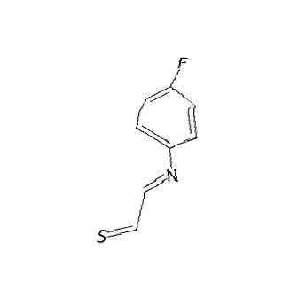 Fc1ccc(N=CC=S)cc1